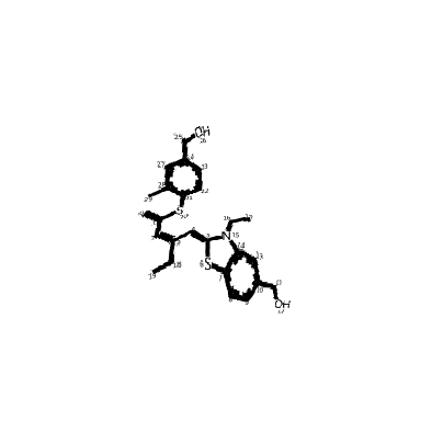 C=C(/C=C(\C=C1/Sc2ccc(CO)cc2N1CC)CC)Sc1ccc(CO)cc1C